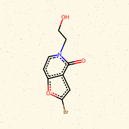 O=c1c2cc(Br)oc2ccn1CCO